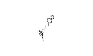 CCCO[Si](C)(C)CCCCC1CCC2OC2C1